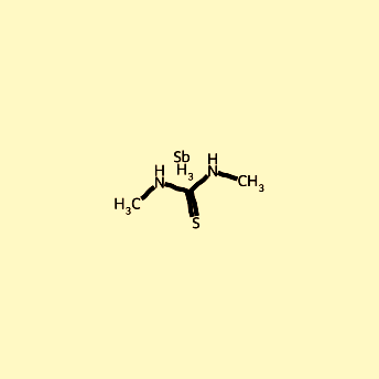 CNC(=S)NC.[SbH3]